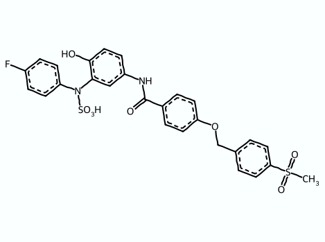 CS(=O)(=O)c1ccc(COc2ccc(C(=O)Nc3ccc(O)c(N(c4ccc(F)cc4)S(=O)(=O)O)c3)cc2)cc1